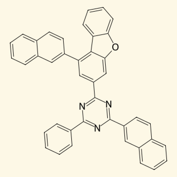 c1ccc(-c2nc(-c3ccc4ccccc4c3)nc(-c3cc(-c4ccc5ccccc5c4)c4c(c3)oc3ccccc34)n2)cc1